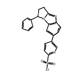 CCS(=O)(=O)c1ccc(-c2ccc3nc4n(c3c2)C(c2ccccc2)CC4)cn1